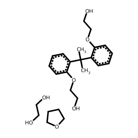 C1CCOC1.CC(C)(c1ccccc1OCCO)c1ccccc1OCCO.OCCO